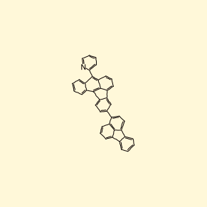 c1ccc(-c2c3ccccc3c3c4c(cccc24)-c2cc(-c4ccc5c6c(cccc46)-c4ccccc4-5)ccc2-3)nc1